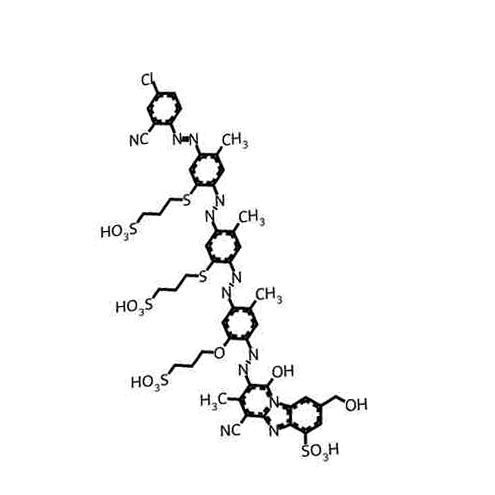 Cc1cc(N=Nc2cc(SCCCS(=O)(=O)O)c(N=Nc3cc(OCCCS(=O)(=O)O)c(N=Nc4c(C)c(C#N)c5nc6c(S(=O)(=O)O)cc(CO)cc6n5c4O)cc3C)cc2C)c(SCCCS(=O)(=O)O)cc1N=Nc1ccc(Cl)cc1C#N